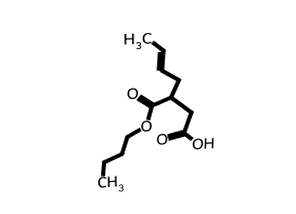 CC=CCC(CC(=O)O)C(=O)OCCCC